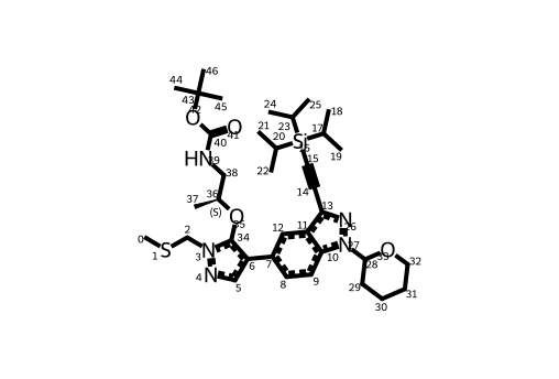 CSCn1ncc(-c2ccc3c(c2)c(C#C[Si](C(C)C)(C(C)C)C(C)C)nn3C2CCCCO2)c1O[C@@H](C)CNC(=O)OC(C)(C)C